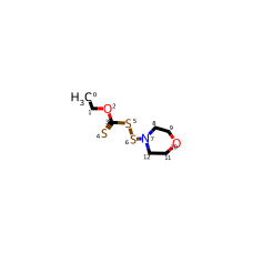 CCOC(=S)SSN1CCOCC1